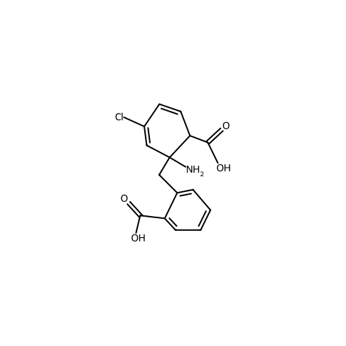 NC1(Cc2ccccc2C(=O)O)C=C(Cl)C=CC1C(=O)O